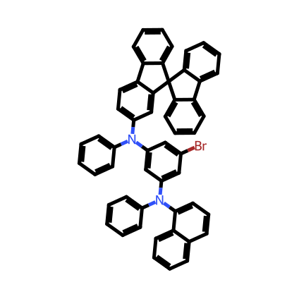 Brc1cc(N(c2ccccc2)c2ccc3c(c2)C2(c4ccccc4-c4ccccc42)c2ccccc2-3)cc(N(c2ccccc2)c2cccc3ccccc23)c1